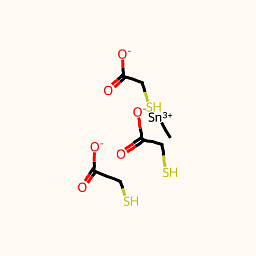 O=C([O-])CS.O=C([O-])CS.O=C([O-])CS.[CH3][Sn+3]